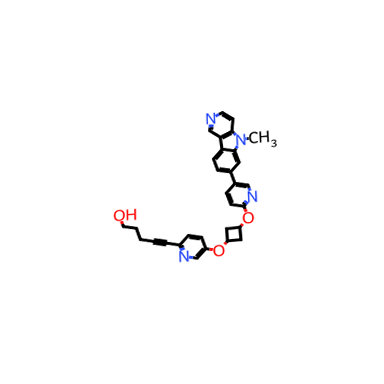 Cn1c2ccncc2c2ccc(-c3ccc(OC4CC(Oc5ccc(C#CCCCO)nc5)C4)nc3)cc21